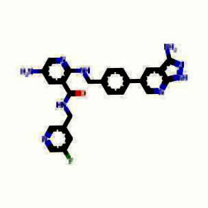 Nc1cnc(NCc2ccc(-c3cnc4[nH]nc(N)c4c3)cc2)c(C(=O)NCc2cncc(F)c2)c1